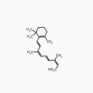 CC1=C(/C=C/C(C)=C\C=C\C(C)=C/C(=O)O)C(C)(C)CCC1